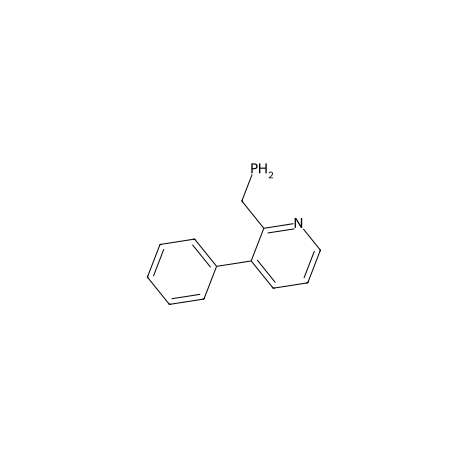 PCc1ncccc1-c1ccccc1